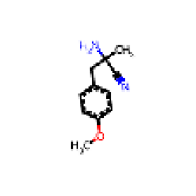 COc1ccc(CC(C)(N)C#N)cc1